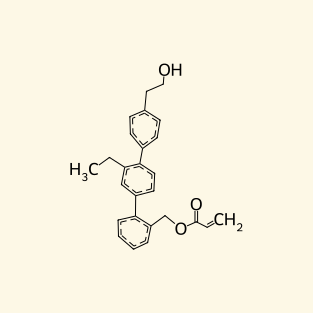 C=CC(=O)OCc1ccccc1-c1ccc(-c2ccc(CCO)cc2)c(CC)c1